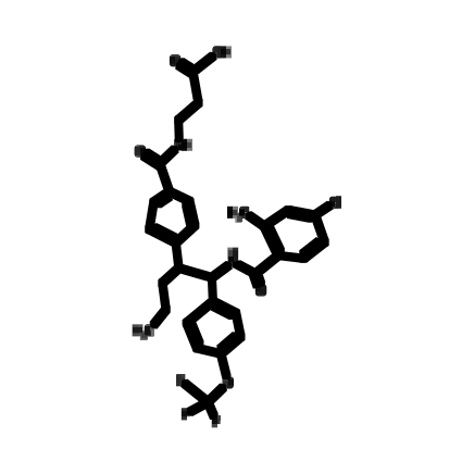 CCCC(c1ccc(C(=O)NCCC(=O)O)cc1)C(NC(=O)c1ccc(Cl)cc1C)c1ccc(OC(F)(F)F)cc1